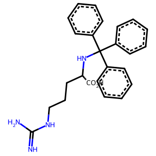 N=C(N)NCCCC(NC(c1ccccc1)(c1ccccc1)c1ccccc1)C(=O)O